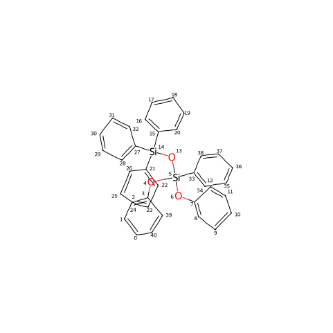 c1ccc(O[Si](Oc2ccccc2)(O[Si](c2ccccc2)(c2ccccc2)c2ccccc2)c2ccccc2)cc1